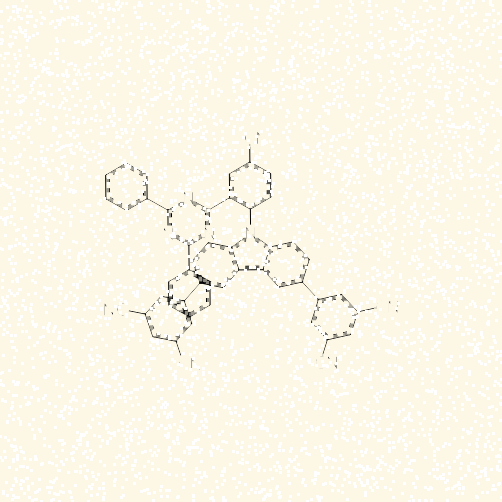 N#Cc1cc(C#N)cc(-c2ccc3c(c2)c2cc(-c4cc(C#N)cc(C#N)c4)ccc2n3-c2ccc(C#N)cc2-c2nc(-c3ccccc3)nc(-c3ccccc3)n2)c1